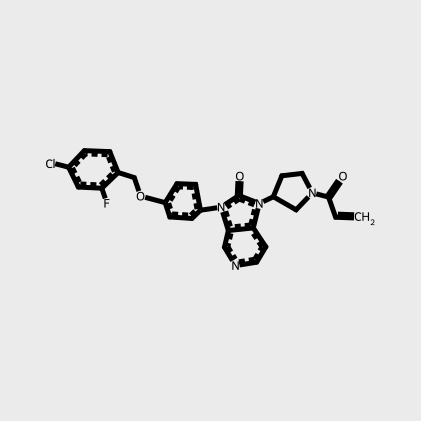 C=CC(=O)N1CCC(n2c(=O)n(-c3ccc(OCc4ccc(Cl)cc4F)cc3)c3cnccc32)C1